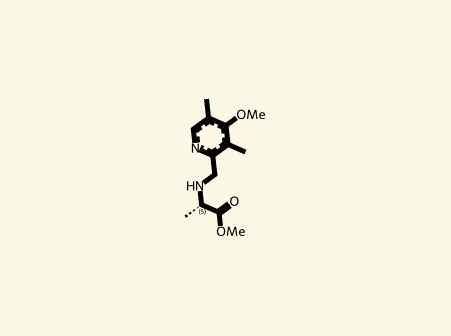 COC(=O)[C@H](C)NCc1ncc(C)c(OC)c1C